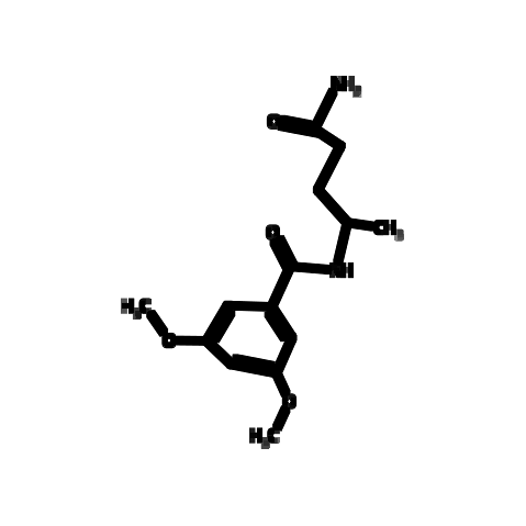 COc1cc(OC)cc(C(=O)NC(C)CCC(N)=O)c1